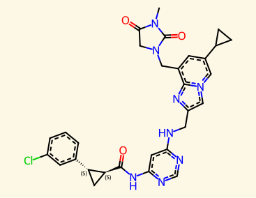 CN1C(=O)CN(Cc2cc(C3CC3)cn3cc(CNc4cc(NC(=O)[C@H]5C[C@@H]5c5cccc(Cl)c5)ncn4)nc23)C1=O